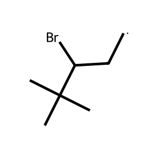 [CH2]CC(Br)C(C)(C)C